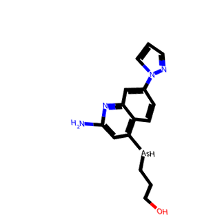 Nc1cc([AsH]CCCO)c2ccc(-n3cccn3)cc2n1